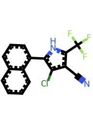 N#Cc1c(C(F)(F)F)[nH]c(-c2cccc3ccccc23)c1Cl